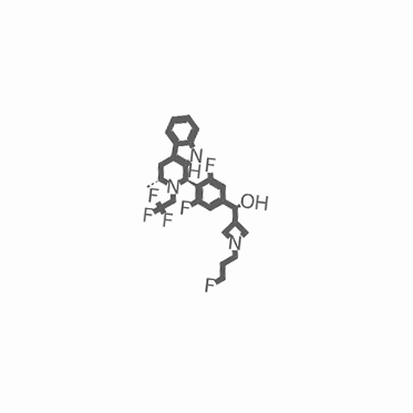 C[C@@H]1Cc2c([nH]c3ccccc23)[C@@H](c2c(F)cc([C@@H](O)C3CN(CCCF)C3)cc2F)N1CC(F)(F)F